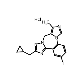 Cc1ncn2c1Cn1nc(CC3CC3)nc1-c1cc(I)ccc1-2.Cl